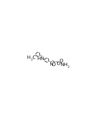 Cc1cccc(CNc2ccc(-c3cc(COC(N)=O)on3)cc2)c1